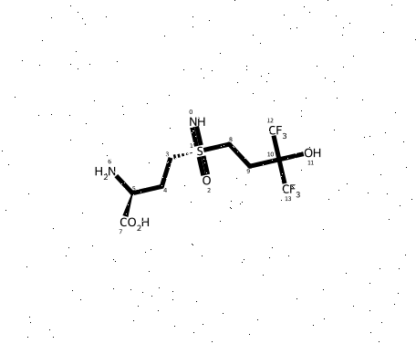 N=[S@@](=O)(CC[C@H](N)C(=O)O)CCC(O)(C(F)(F)F)C(F)(F)F